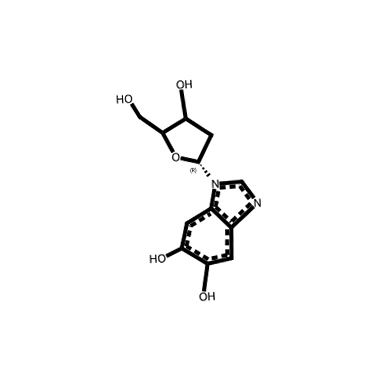 OCC1O[C@@H](n2cnc3cc(O)c(O)cc32)CC1O